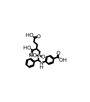 O=C(O)CCC(CP(=O)(O)C(Nc1ccc(C(=O)O)cc1)c1ccccc1)C(=O)O